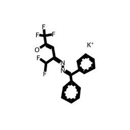 [K+].[O-]C(=CC(=NN=C(c1ccccc1)c1ccccc1)C(F)F)C(F)(F)F